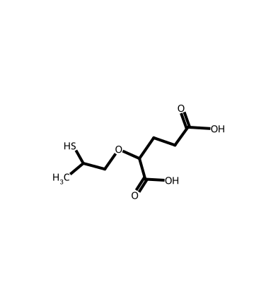 CC(S)COC(CCC(=O)O)C(=O)O